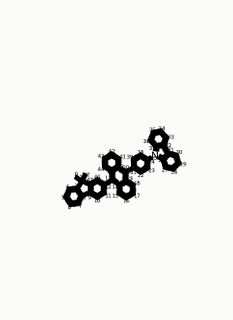 CC1(C)c2ccccc2-c2ccc(-c3c4ccccc4c(-c4ccc(-n5c6ccccc6c6ccccc65)cc4)c4ccccc34)cc21